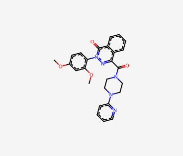 COc1ccc(-n2nc(C(=O)N3CCN(c4ccccn4)CC3)c3ccccc3c2=O)c(OC)c1